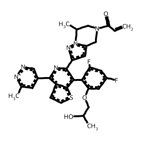 C=CC(=O)N1Cc2cc(-c3nc(-c4cnnc(C)c4)c4ccsc4c3-c3c(F)cc(F)cc3OCC(C)O)nn2C(C)C1